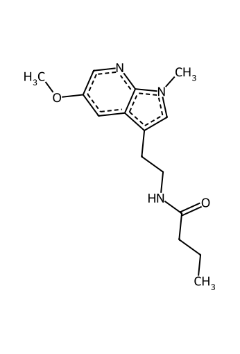 CCCC(=O)NCCc1cn(C)c2ncc(OC)cc12